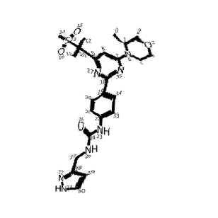 C[C@H]1COCCN1c1cc(C(C)(C)S(C)(=O)=O)nc(-c2ccc(NC(=O)NCc3cc[nH]n3)cc2)n1